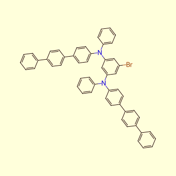 Brc1cc(N(c2ccccc2)c2ccc(-c3ccc(-c4ccccc4)cc3)cc2)cc(N(c2ccccc2)c2ccc(-c3ccc(-c4ccccc4)cc3)cc2)c1